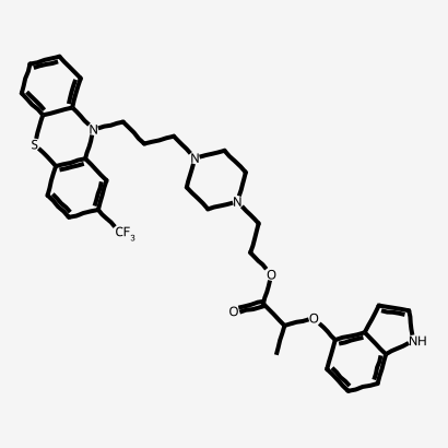 CC(Oc1cccc2[nH]ccc12)C(=O)OCCN1CCN(CCCN2c3ccccc3Sc3ccc(C(F)(F)F)cc32)CC1